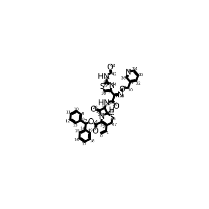 C=CC1=C(C(=O)OC(c2ccccc2)c2ccccc2)N2C(=O)C(NC(=O)/C(=N/OCc3cccnc3)c3csc(NC=O)n3)[C@H]2SC1